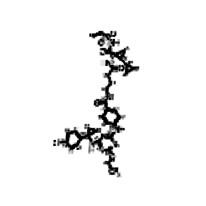 C=CS(=O)(=O)NC(=O)[C@@]1(NC(=O)CCCNC(=O)c2ccc(Nc3nc(NC4(c5ccc(Cl)cc5)CC4)nc(OCC(F)(F)F)n3)cc2)C[C@H]1C1CC1